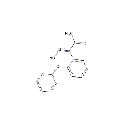 NC(=O)/C(=N/O)c1ccccc1Oc1ccccc1